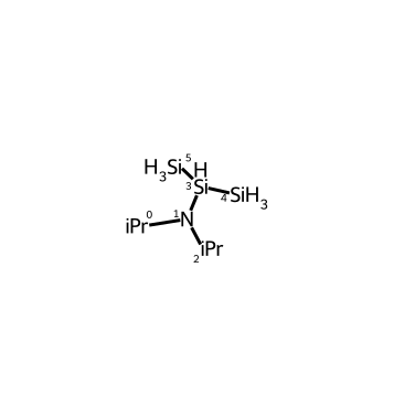 CC(C)N(C(C)C)[SiH]([SiH3])[SiH3]